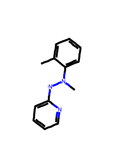 Cc1ccccc1N(C)[N]c1ccccn1